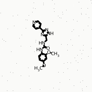 COc1ccc(NC(=O)NCc2nc(-c3ccncc3)n[nH]2)c(OC)c1